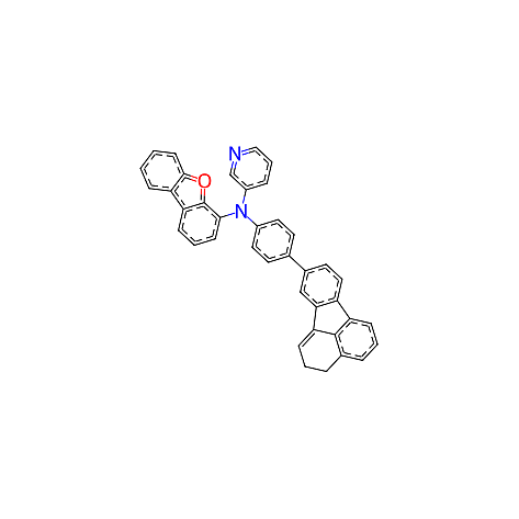 C1=C2c3cc(-c4ccc(N(c5cccnc5)c5cccc6c5oc5ccccc56)cc4)ccc3-c3cccc(c32)CC1